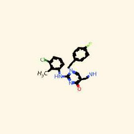 Cc1c(Cl)cccc1Nc1nc(=O)c(C=N)cn1Cc1ccc(F)cc1